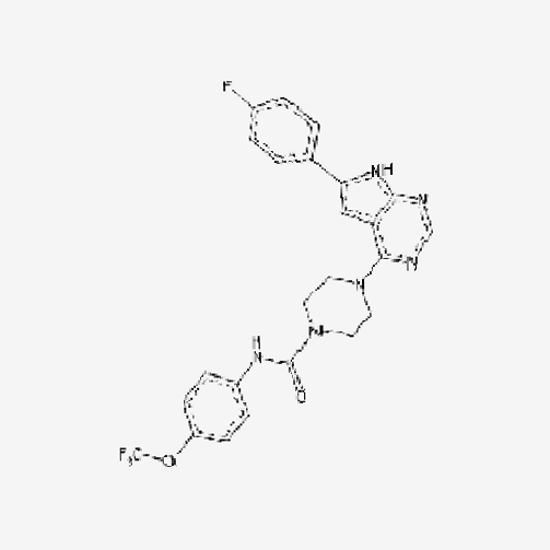 O=C(Nc1ccc(OC(F)(F)F)cc1)N1CCN(c2ncnc3[nH]c(-c4ccc(F)cc4)cc23)CC1